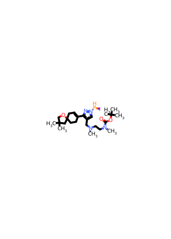 CN(CCN(C)C(=O)OC(C)(C)C)Cc1cn(PI)nc1C1=CCC2(CC1)CC(C)(C)CO2